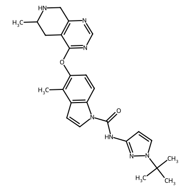 Cc1c(Oc2ncnc3c2CC(C)NC3)ccc2c1ccn2C(=O)Nc1ccn(C(C)(C)C)n1